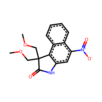 COCC1(COC)C(=O)Nc2cc([N+](=O)[O-])c3ccccc3c21